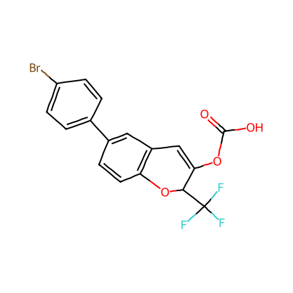 O=C(O)OC1=Cc2cc(-c3ccc(Br)cc3)ccc2OC1C(F)(F)F